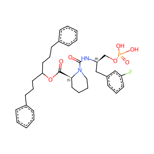 O=C(OC(CCCc1ccccc1)CCCc1ccccc1)[C@@H]1CCCCN1C(=O)N[C@@H](COP(=O)(O)O)Cc1cccc(F)c1